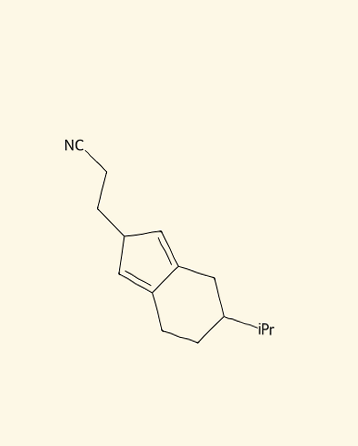 CC(C)C1CCC2=CC(CCC#N)C=C2C1